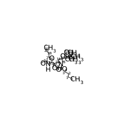 CCCCOC(=O)N1CC(O[Si](C)(C)C(C)(C)C)CC1C(O)C(NC=O)OCCCC